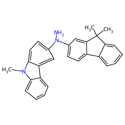 Cn1c2ccccc2c2cc(N(N)c3ccc4c(c3)C(C)(C)c3ccccc3-4)ccc21